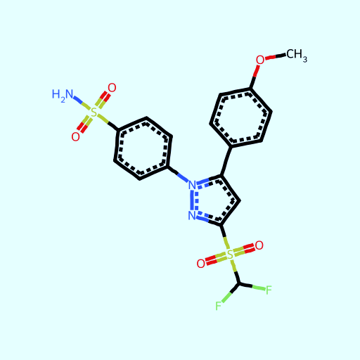 COc1ccc(-c2cc(S(=O)(=O)C(F)F)nn2-c2ccc(S(N)(=O)=O)cc2)cc1